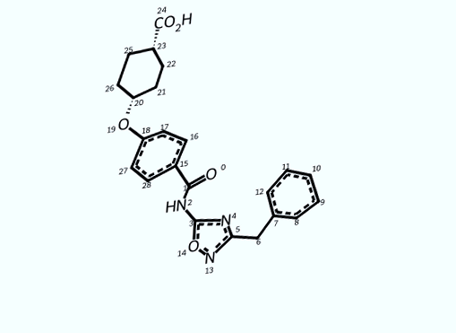 O=C(Nc1nc(Cc2ccccc2)no1)c1ccc(O[C@H]2CC[C@@H](C(=O)O)CC2)cc1